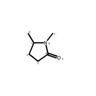 CC1C[CH]C(=O)N1C